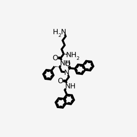 NCCCC[C@H](N)C(=O)N[C@@H](Cc1ccccc1)CN(CC(=O)NCc1cccc2ccccc12)C(=O)c1ccc2ccccc2c1